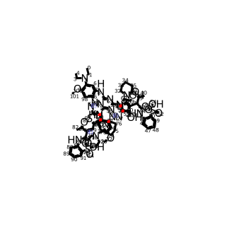 CCN(CC)c1cc(Nc2nc(Nc3cc(N(CC)CC)c(OC)cc3/N=N/c3nc(N4CCCCC4)c(C(C(C)=O)C(=O)Nc4ccccc4S(=O)(=O)O)s3)nc(N(CCO)CCO)n2)c(/N=N/c2nc(N3CCCCC3)c(/C=C(\C(C)=O)C(=O)Nc3ccccc3S(=O)(=O)O)s2)cc1OC